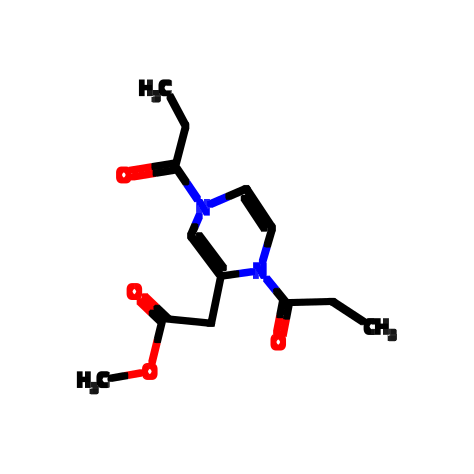 CCC(=O)N1C=CN(C(=O)CC)C(CC(=O)OC)=C1